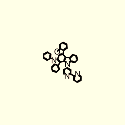 c1ccc(-n2c3ccccc3c3c2c2oc4ccccc4c2c2c4ccccc4n(-c4ccnc(-c5ccccn5)c4)c23)cc1